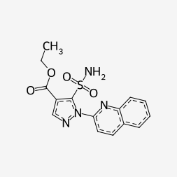 CCOC(=O)c1cnn(-c2ccc3ccccc3n2)c1S(N)(=O)=O